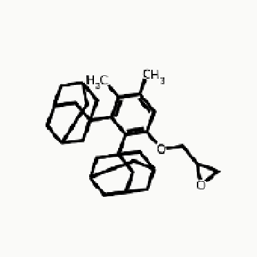 Cc1cc(OCC2CO2)c(C23CC4CC(CC(C4)C2)C3)c(C23CC4CC(CC(C4)C2)C3)c1C